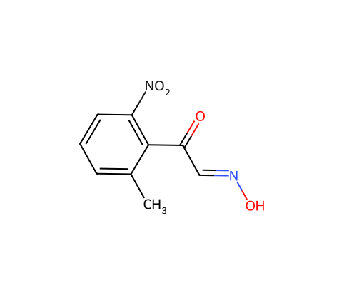 Cc1cccc([N+](=O)[O-])c1C(=O)C=NO